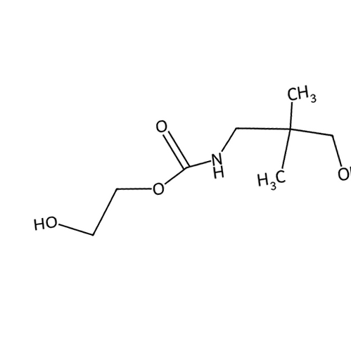 CC(C)(CO)CNC(=O)OCCO